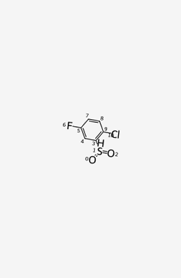 O=[SH](=O)c1cc(F)ccc1Cl